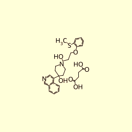 CSc1ccccc1OCCC(O)N1CCC(O)(c2cncc3ccccc23)CC1.O=C(O)CCC(=O)O